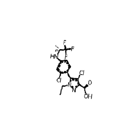 CCn1nc(C(=O)O)c(Cl)c1-c1ccc(N[C@H](C)C(F)(F)F)cc1Cl